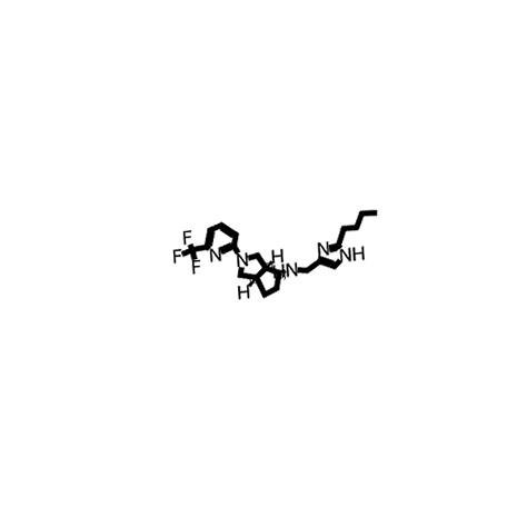 CCCCc1nc(CN[C@H]2CC[C@@H]3CN(c4cccc(C(F)(F)F)n4)C[C@@H]32)c[nH]1